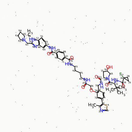 Cc1ncsc1-c1ccc(CNC(=O)[C@@H]2C[C@@H](O)CN2C(=O)[C@@H](NC(=O)C2(F)CC2)C(C)(C)C)c(OCC(=O)NCCCCNC(=O)c2ccc(C(=O)Nc3ccc4[nH]c(CN5CCC[C@@H]5C)nc4c3)cc2)c1